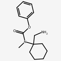 CN(C(=O)Oc1ccccc1)C1(CN)CCCCC1